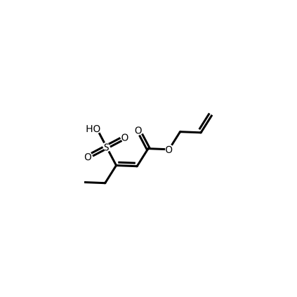 C=CCOC(=O)C=C(CC)S(=O)(=O)O